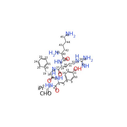 CC(C)[C@@H](C=O)NC(=O)[C@H](Cc1ccc(O)cc1)NC(=O)[C@H](Cc1ccccc1)NC(=O)[C@H](CCCNC(=N)N)NC(=O)C(N)CCCCN